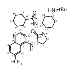 CC(C)(C)N[C@@H]1CC[C@H](N2CC[C@H](Nc3ncnc4ccc(C(F)(F)F)cc34)C2=O)[C@H](NC(=O)C2CCCCC2)C1